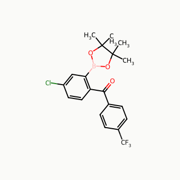 CC1(C)OB(c2cc(Cl)ccc2C(=O)c2ccc(C(F)(F)F)cc2)OC1(C)C